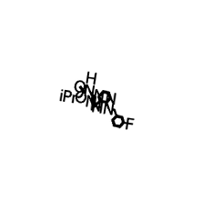 CC(C)OC(=O)Nc1nnc2c(NCc3cccc(F)c3)nccn12